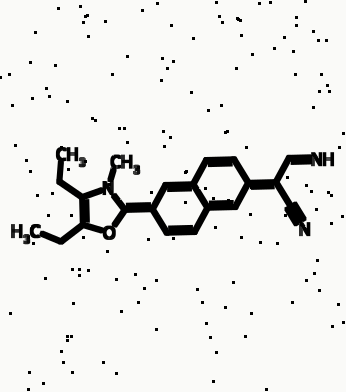 CCC1=C(CC)N(C)/C(=c2/ccc3c/c(=C(\C#N)C=N)ccc3c2)O1